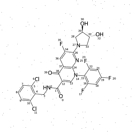 O=C(NCc1c(Cl)cccc1Cl)c1cn(-c2c(F)cc(F)cc2F)c2nc(N3C[C@@H](O)[C@H](O)C3)c(F)cc2c1=O